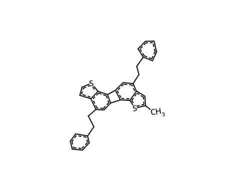 Cc1cc2c(CCc3ccccc3)cc3c(c2s1)-c1cc(CCc2ccccc2)c2ccsc2c1-3